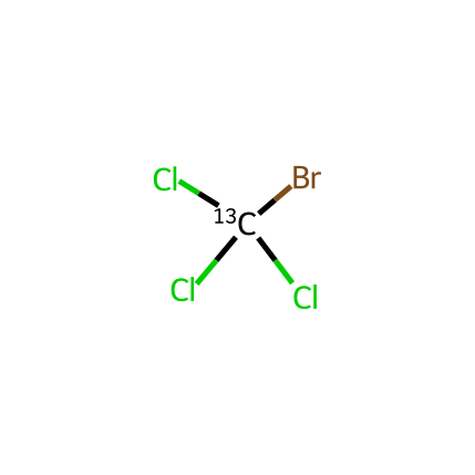 Cl[13C](Cl)(Cl)Br